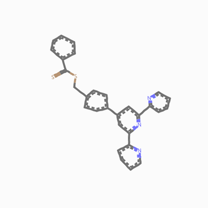 S=C(SCc1ccc(-c2cc(-c3ccccn3)nc(-c3ccccn3)c2)cc1)c1ccccc1